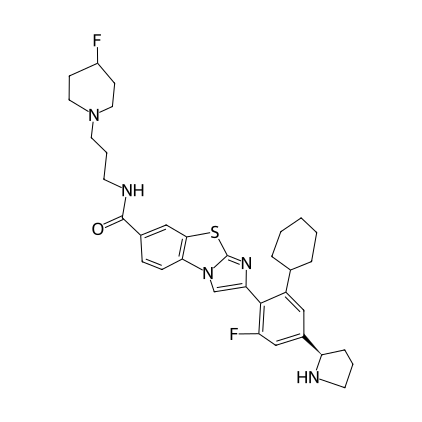 O=C(NCCCN1CCC(F)CC1)c1ccc2c(c1)sc1nc(-c3c(F)cc([C@H]4CCCN4)cc3C3CCCCC3)cn12